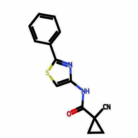 N#CC1(C(=O)Nc2csc(-c3ccccc3)n2)CC1